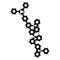 c1ccc(-c2nc(-c3ccccc3)nc(-c3ccc(-c4ccc(-c5ccc(-n6c7ccccc7c7c(-c8ccc9c(c8)c8ccccc8n9-c8ccccc8)cccc76)cc5)c(-n5c6ccccc6c6ccccc65)c4)cc3)n2)cc1